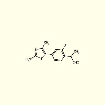 Cc1nc(N)sc1-c1ccc(C(C)C=O)c(F)c1